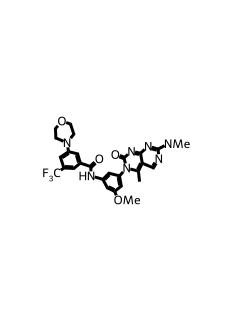 CNc1ncc2c(C)n(-c3cc(NC(=O)c4cc(N5CCOCC5)cc(C(F)(F)F)c4)cc(OC)c3)c(=O)nc2n1